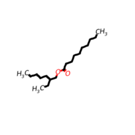 CCCCCCCCCC(=O)OCC(CC)CCCCC